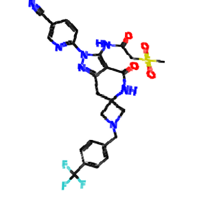 CS(=O)(=O)CC(=O)Nc1c2c(nn1-c1ccc(C#N)cn1)CC1(CN(Cc3ccc(C(F)(F)F)cc3)C1)NC2=O